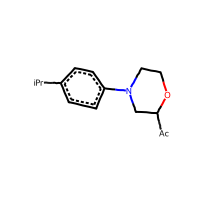 CC(=O)C1CN(c2ccc(C(C)C)cc2)CCO1